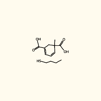 CC1(C(=O)O)C=CC=C(C(=O)O)C1.CCCCS